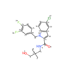 CC(C)(CO)CNC(=O)c1cc2cc(Cl)ccc2n1Cc1ccc(F)c(F)c1